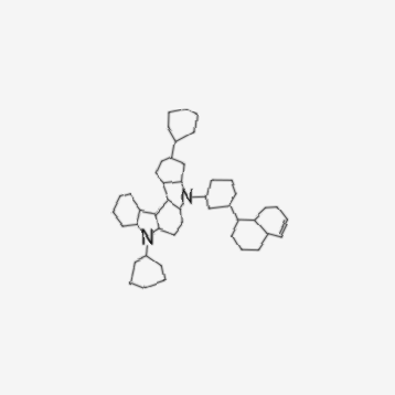 C1=CC2CCCC(C3CCCC(N4C5CC(C6CCCCC6)CCC5C5C6C7CCCCC7N(C7CCCCC7)C6CCC54)C3)C2CC1